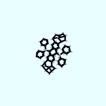 c1ccc(N(c2ccccc2)c2c3cc4c(cc3c(N(c3ccccc3)c3ccccc3)c3cc5c(cc23)C2CC3CC6CC5C36C2)C2CC3CC(CC4C3)C2)cc1